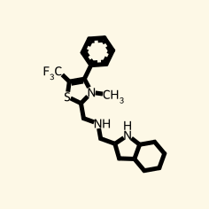 CN1C(c2ccccc2)=C(C(F)(F)F)SC1CNCC1CC2CCCCC2N1